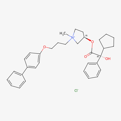 C[N+]1(CCCOc2ccc(-c3ccccc3)cc2)CC[C@@H](OC(=O)[C@](O)(c2ccccc2)C2CCCC2)C1.[Cl-]